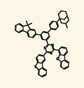 CC1CC2CCCC(c3ccc(-c4cc(-c5ccc6c(c5)C(C)(C)c5ccccc5-6)cc(-c5nc(-c6ccc7sc8ccccc8c7c6)nc(-c6cccc7c6oc6ccccc67)n5)c4)cc3)(C1)C2